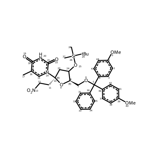 COc1ccc(C(OC[C@H]2O[C@@](CC[N+](=O)[O-])(n3cc(C)c(=O)[nH]c3=O)CC2O[Si](C)(C)C(C)(C)C)(c2ccccc2)c2ccc(OC)cc2)cc1